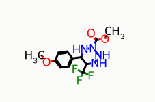 COC(=O)N1NNC(C(F)(F)F)C(c2ccc(OC)cc2)N1